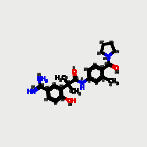 Cc1cc(NC(=O)C(C)(C)c2cc(C(=N)N)ccc2O)ccc1C(=O)N1CCCC1